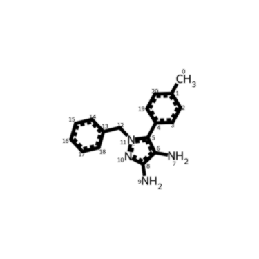 Cc1ccc(-c2c(N)c(N)nn2Cc2ccccc2)cc1